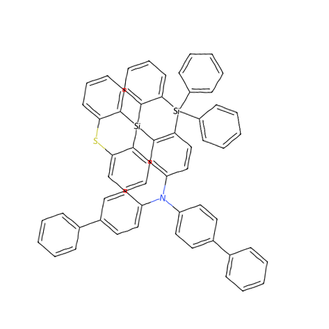 c1ccc(-c2ccc(N(c3ccc(-c4ccccc4)cc3)c3ccc4c(c3)[Si]3(c5ccccc5Sc5ccccc53)c3ccccc3[Si]4(c3ccccc3)c3ccccc3)cc2)cc1